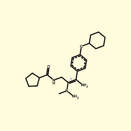 CN(N)/C(CNC(=O)C1CCCC1)=C(\N)c1ccc(OC2CCCCC2)cc1